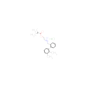 C=C(C)C(=O)OCCNCc1ccccc1-c1cccc(C)c1C.Cl